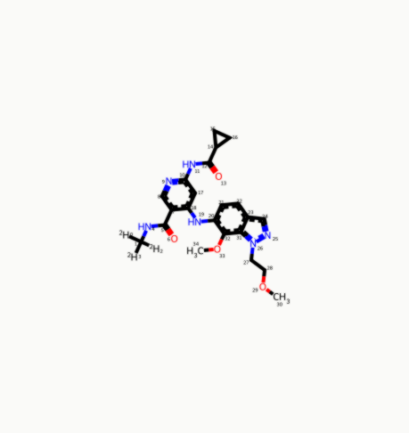 [2H]C([2H])([2H])NC(=O)c1cnc(NC(=O)C2CC2)cc1Nc1ccc2cnn(CCOC)c2c1OC